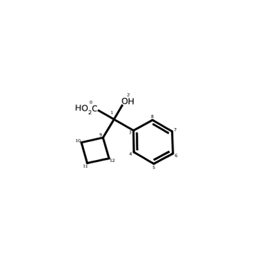 O=C(O)C(O)(c1ccccc1)C1CCC1